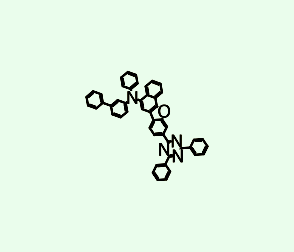 c1ccc(-c2cccc(N(c3ccccc3)c3cc4c5ccc(-c6nc(-c7ccccc7)nc(-c7ccccc7)n6)cc5oc4c4ccccc34)c2)cc1